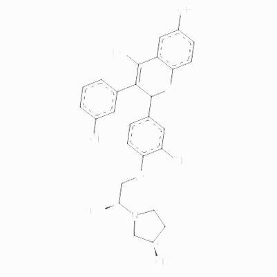 CC1=C(c2cccc(O)c2)C(c2ccc(OC[C@H](C)N3CC[C@@H](C)C3)c(Cl)c2)Oc2ccc(O)cc21